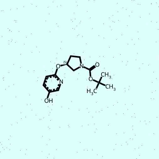 CC(C)(C)OC(=O)N1CC[C@H](Oc2ccc(O)cn2)C1